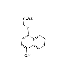 CCCCCCCCCOc1ccc(O)c2ccccc12